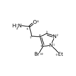 CCn1ncc(CC(N)=O)c1Br